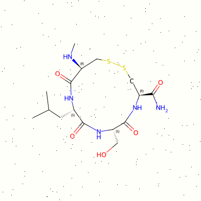 CN[C@H]1CSSC[C@@H](C(N)=O)NC(=O)[C@H](CO)NC(=O)[C@H](CC(C)C)NC1=O